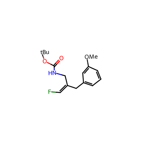 COc1cccc(C/C(=C/F)CNC(=O)OC(C)(C)C)c1